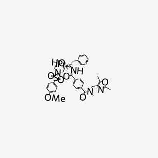 COc1ccc(S(=O)(=O)N(CC(C)C)C[C@@H](O)[C@H](Cc2ccccc2)NC(=O)c2ccc(C(=O)N(C)Cc3nc(C)oc3C)cc2)cc1